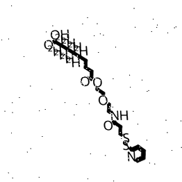 [2H]C([2H])(CCCC(=O)OCCOCCNC(=O)CCSSc1ccccn1)C([2H])([2H])C([2H])([2H])C([2H])([2H])C(=O)O